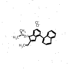 CCC1=Cc2c(-c3cccc4ccccc34)cccc2[CH]1[Zr+2][Si](C)C.[Cl-].[Cl-]